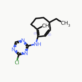 CCC1/C=C\C(Nc2ncnc(Cl)n2)=C(/C)CCC1